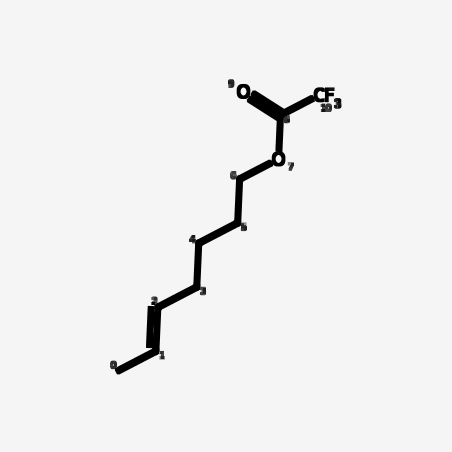 CC=CCCCCOC(=O)C(F)(F)F